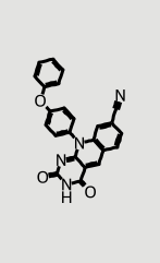 N#Cc1ccc2cc3c(=O)[nH]c(=O)nc-3n(-c3ccc(Oc4ccccc4)cc3)c2c1